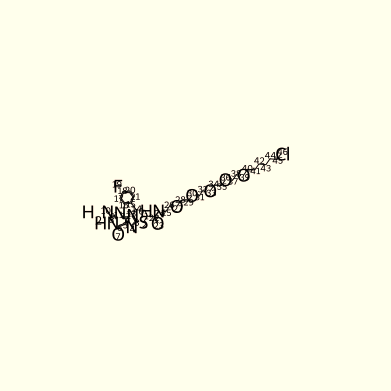 CC(Sc1nc2c(=O)[nH]c(N)nc2n1Cc1ccc(F)cc1)C(=O)NCCOCCOCCOCCOCCOCCCCCCCl